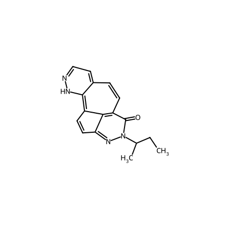 CCC(C)n1nc2ccc3c4c(ccc(c2-3)c1=O)=CC=NN4